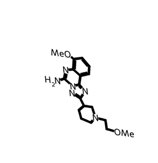 COCCN1CCCC(c2nc3c4cccc(OC)c4nc(N)n3n2)C1